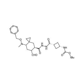 CN(OCc1ccccc1)C1CC(C=O)[C@H](C(=O)NNC(=O)[C@H]2C[C@@H](NC(=O)OC(C)(C)C)C2)CC12CC2